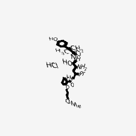 COCCCCOc1ccccc1C(=O)NCC(CC(N)C(O)CNC(=O)C(C)(C)C1CCC(O)CC1)C(C)C.Cl